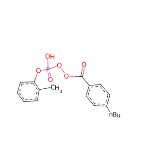 CCCCc1ccc(C(=O)OOP(=O)(O)Oc2ccccc2C)cc1